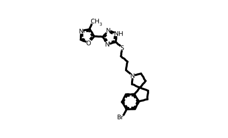 Cc1ncoc1-c1n[nH]c(SCCCN2CCC3(CCc4cc(Br)ccc43)C2)n1